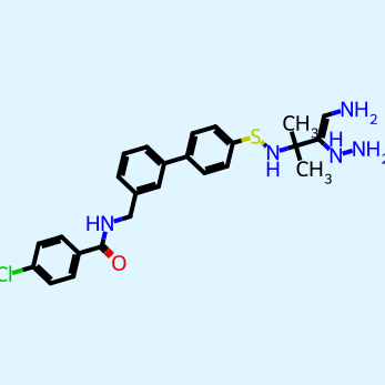 CC(C)(NSc1ccc(-c2cccc(CNC(=O)c3ccc(Cl)cc3)c2)cc1)/C(=C/N)NN